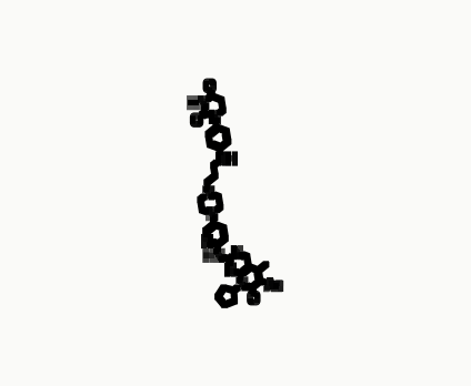 CC(=O)c1c(C)c2cnc(Nc3ccc(N4CCN(CCCNc5ccc(N6CCC(=O)NC6=O)cc5)CC4)cn3)nc2n(C2CCCC2)c1=O